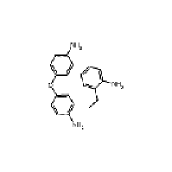 CCc1ccccc1N.Nc1ccc(Oc2ccc(N)cc2)cc1